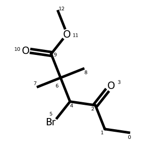 CCC(=O)C(Br)C(C)(C)C(=O)OC